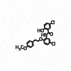 COc1ccc(CCOc2ccc(Cl)cc2NC(=O)c2cc(Cl)ccc2O)cc1